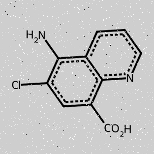 Nc1c(Cl)cc(C(=O)O)c2ncccc12